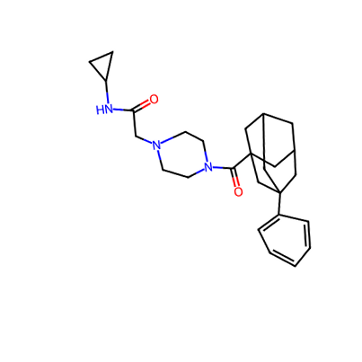 O=C(CN1CCN(C(=O)C23CC4CC(C2)CC(c2ccccc2)(C4)C3)CC1)NC1CC1